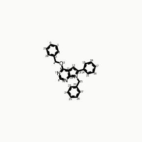 c1ccc(COc2ncnc3c2cc(-c2ccccc2)n3Cc2ccccc2)cc1